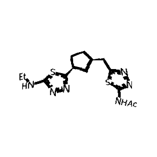 CCNc1nnc([C@H]2CC[C@@H](Cc3nnc(NC(C)=O)s3)C2)s1